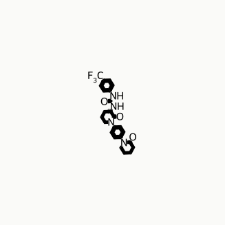 O=C(Nc1ccc(C(F)(F)F)cc1)N[C@@H]1CCCN(c2ccc(N3CCCCC3=O)cc2)C1=O